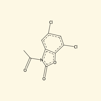 CC(=O)n1c(=O)oc2c(Cl)cc(Cl)cc21